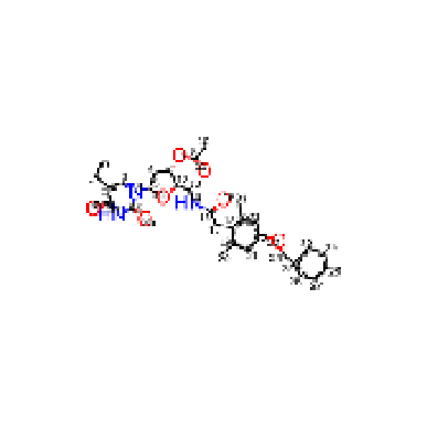 CCc1cn([C@H]2C[C@H](OC(C)=O)[C@@H](CNC(=O)Cc3c(C)cc(OCc4ccccc4)cc3C)O2)c(=O)[nH]c1=O